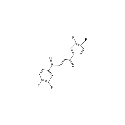 O=C(C=CC(=O)c1ccc(F)c(F)c1)c1ccc(F)c(F)c1